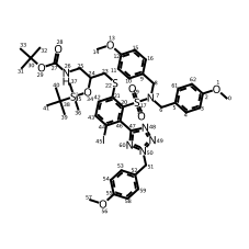 COc1ccc(CN(Cc2ccc(OC)cc2)S(=O)(=O)c2c(SCC(CNC(=O)OC(C)(C)C)O[Si](C)(C)C(C)(C)C)ccc(I)c2-c2nnn(Cc3ccc(OC)cc3)n2)cc1